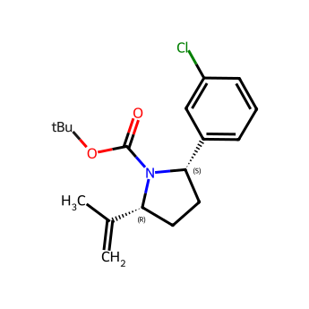 C=C(C)[C@H]1CC[C@@H](c2cccc(Cl)c2)N1C(=O)OC(C)(C)C